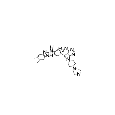 Cc1cc2nc(Nc3ccc(-c4cn(C5CCC(N6CCN(C)CC6)CC5)c5ncnc(N)c45)cc3)[nH]c2cc1C